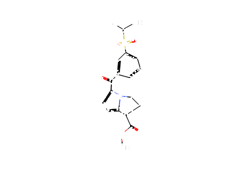 COC(=O)C1CCn2c(C(=O)c3cccc(S(=O)(=O)C(C)C)c3)ccc21